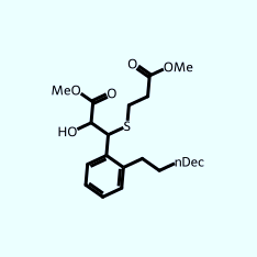 CCCCCCCCCCCCc1ccccc1C(SCCC(=O)OC)C(O)C(=O)OC